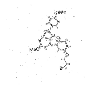 COc1ccc(-c2sc3cc(OC)ccc3c2Oc2ccc(OCCBr)cc2)cc1